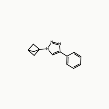 c1ccc(-c2cn(C34CC(C3)C4)nn2)cc1